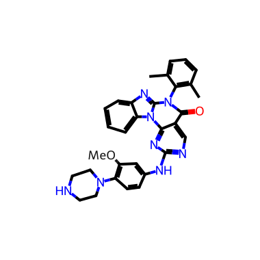 COc1cc(Nc2ncc3c(=O)n(-c4c(C)cccc4C)c4nc5ccccc5n4c3n2)ccc1N1CCNCC1